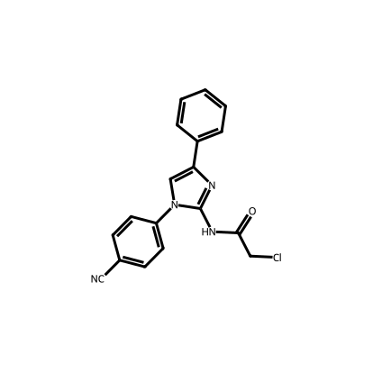 N#Cc1ccc(-n2cc(-c3ccccc3)nc2NC(=O)CCl)cc1